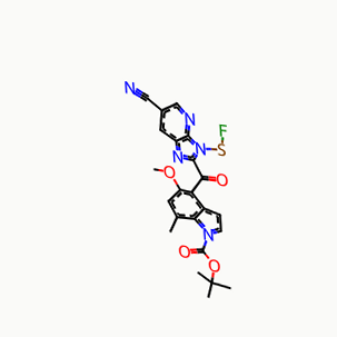 COc1cc(C)c2c(ccn2C(=O)OC(C)(C)C)c1C(=O)c1nc2cc(C#N)cnc2n1SF